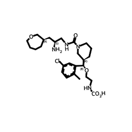 Cc1ccc(Cl)cc1[C@H](OCCNC(=O)O)[C@@H]1CCCN(C(=O)NC[C@@H](N)C[C@H]2CCCCOC2)C1